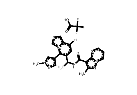 CC(NC(=O)c1c(N)nn2cccnc12)c1cc(Cl)c2cncn2c1-c1cnn(C)c1.O=C(O)C(F)(F)F